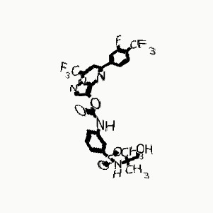 CC(C)(CO)NS(=O)(=O)c1cccc(NC(=O)Oc2cnn3c(C(F)(F)F)cc(-c4ccc(C(F)(F)F)c(F)c4)nc23)c1